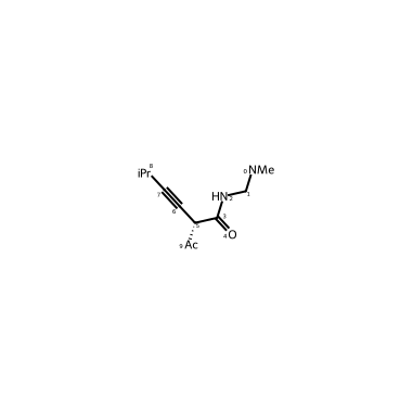 CNCNC(=O)[C@@H](C#CC(C)C)C(C)=O